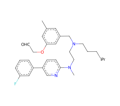 Cc1cc(CN(CCCC(C)C)CCN(C)c2ccc(-c3cccc(F)c3)cn2)cc(OCC=O)c1